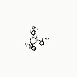 COc1ccccc1CN1CC[C@@](c2ccccc2)(N(C)C)CCCN(c2cnc(C)nc2)C1=O